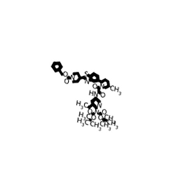 CCc1cc(NC(=O)C(=O)N2C[C@@H](C)CCC2c2ccc3sc(C4CCN(C(=O)OCc5ccccc5)CC4)nc3c2)cnc1N(C(=O)OC(C)(C)C)C(=O)OC(C)(C)C